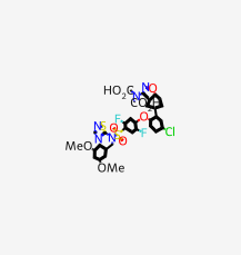 COc1cc(CN(c2ncns2)S(=O)(=O)c2cc(F)c(Oc3ccc(Cl)cc3-c3ccc4onc(N(C(=O)O)C(=O)O)c4c3)cc2F)cc(OC)c1